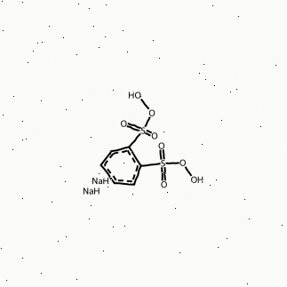 O=S(=O)(OO)c1ccccc1S(=O)(=O)OO.[NaH].[NaH]